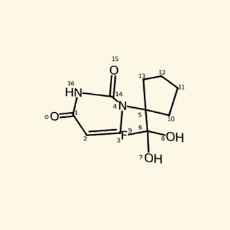 O=c1ccn(C2(C(O)(O)F)CCCC2)c(=O)[nH]1